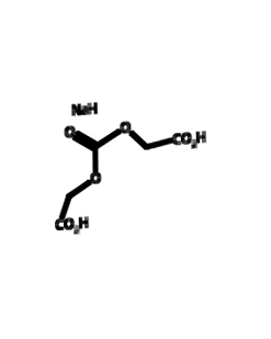 O=C(O)COC(=O)OCC(=O)O.[NaH]